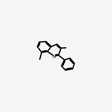 Cc1cc2cccc(C)c2nc1-c1ccccc1